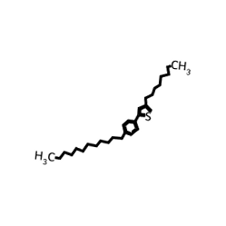 CCCCCCCCCCCCc1ccc(-c2cc(CCCCCCCC)cs2)cc1